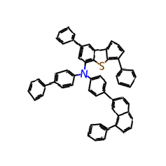 c1ccc(-c2ccc(N(c3ccc(-c4ccc5cccc(-c6ccccc6)c5c4)cc3)c3cc(-c4ccccc4)cc4c3sc3c(-c5ccccc5)cccc34)cc2)cc1